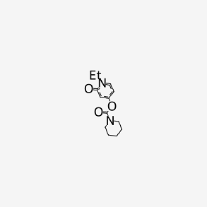 CCn1ccc(OC(=O)N2CCCCC2)cc1=O